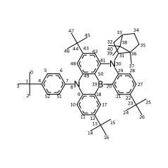 CC(C)(C)c1ccc(N2c3ccc(C(C)(C)C)cc3B3c4cc(C(C)(C)C)ccc4N(C4CC5CCC4(C)C5(C)C)c4cc(C(C)(C)C)cc2c43)cc1